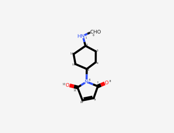 O=CNC1CCC(N2C(=O)C=CC2=O)CC1